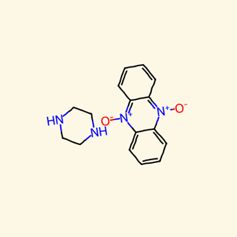 C1CNCCN1.[O-][n+]1c2ccccc2[n+]([O-])c2ccccc21